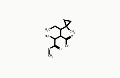 CCC(C(C(=O)O)C(C)C(=O)OC)C1(C)CC1